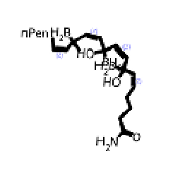 BC(C)(/C=C\CCCCC)/C=C\C(B)(O)/C=C\C(B)(O)/C=C\CCCC(N)=O